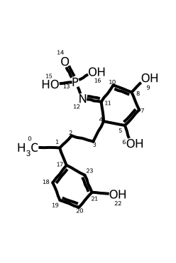 CC(CCC1C(O)=CC(O)=CC1=NP(=O)(O)O)c1cccc(O)c1